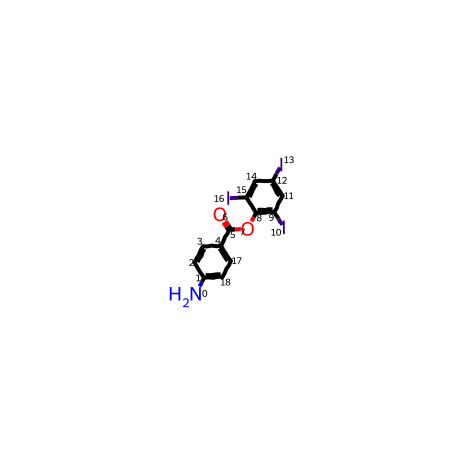 Nc1ccc(C(=O)Oc2c(I)cc(I)cc2I)cc1